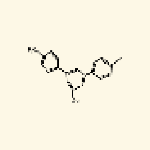 Cc1ccc(-c2cc(-c3ccc(C(F)(F)F)cc3)cc(C(C)(C)C)c2)cc1